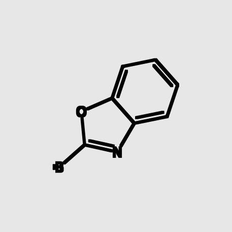 [B]c1nc2ccccc2o1